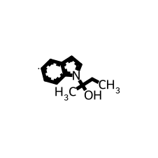 CCC(C)(O)n1ccc2c[c]ccc21